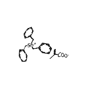 C=C(C)C(=O)[O-].c1ccc([CH2][Sn+]([CH2]c2ccccc2)[CH2]c2ccccc2)cc1